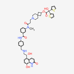 CN(C(=O)CCN1CCC2(CC1)CC(OC(=O)C(O)(c1cccs1)c1cccs1)C2)c1cccc(C(=O)Nc2ccc(CNC[C@H](O)c3ccc(O)c4[nH]c(=O)ccc34)cc2)c1